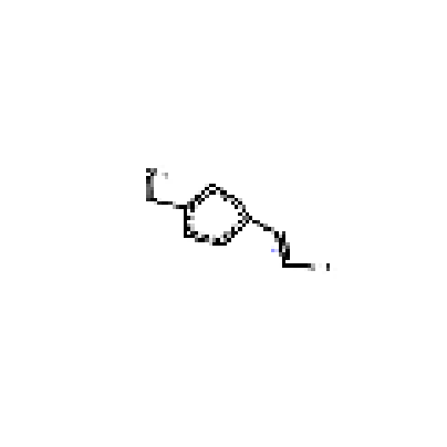 C/C=C/c1ccc(CN)cc1